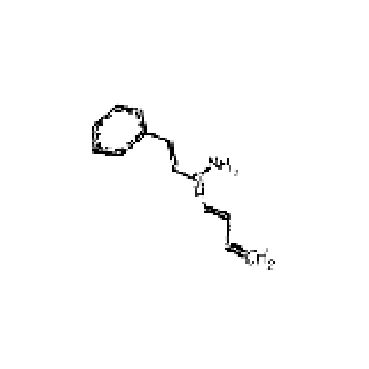 C=CC=C[SiH](N)C=Cc1ccccc1